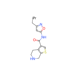 CC(C)Cc1cc(NC(=O)c2csc3c2CCNC3)on1